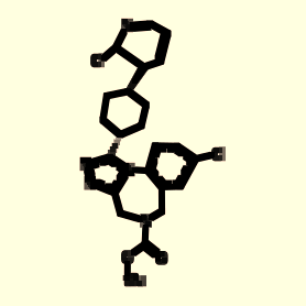 CC(C)(C)OC(=O)N1Cc2cc(Cl)ccc2-n2c(nnc2[C@H]2CC[C@H](C3C=CC=NC3Cl)CC2)C1